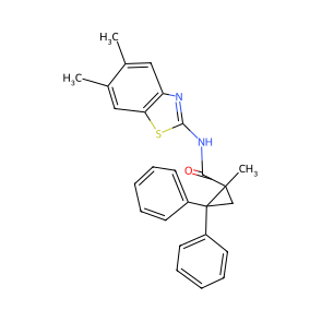 Cc1cc2nc(NC(=O)C3(C)CC3(c3ccccc3)c3ccccc3)sc2cc1C